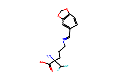 NC(CCCN=Cc1ccc2c(c1)OCO2)(C(=O)O)C(F)F